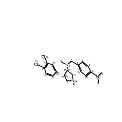 CN(C)c1ccc(CN(C)[C@H]2CNC[C@@H]2c2ccc(Cl)c(Cl)c2)cc1